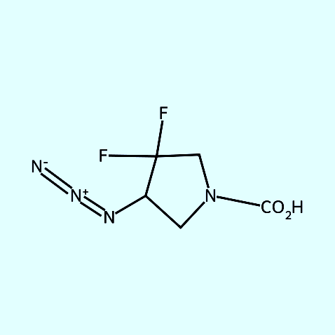 [N-]=[N+]=NC1CN(C(=O)O)CC1(F)F